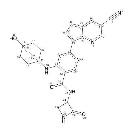 N#Cc1cnn2c(-c3cc(NC45CCC(O)(CC4)CC5)c(C(=O)NC4CNC4=O)cn3)ccc2c1